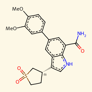 COc1ccc(-c2cc(C(N)=O)c3[nH]cc([C@@H]4CCS(=O)(=O)C4)c3c2)cc1OC